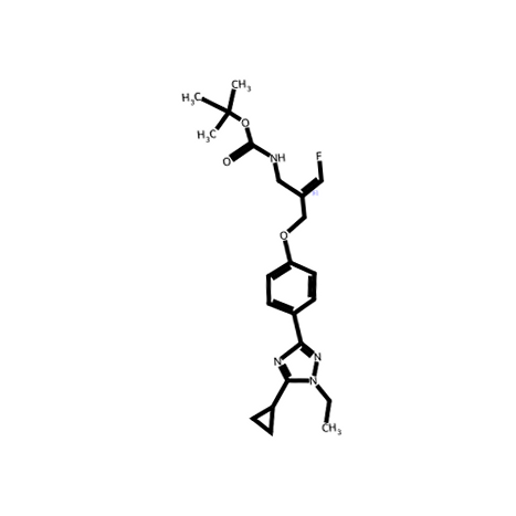 CCn1nc(-c2ccc(OC/C(=C/F)CNC(=O)OC(C)(C)C)cc2)nc1C1CC1